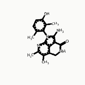 Cc1ccc(O)c(C)c1-n1c(N)c2c3c(c(C)c(C)nc31)CNC2=O